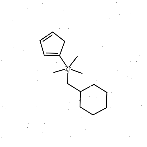 [CH3][Zr]([CH3])([CH3])([CH2]C1CCCCC1)[C]1=CC=CC1